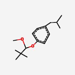 COC(Oc1ccc(CC(C)C)cc1)C(C)(C)C